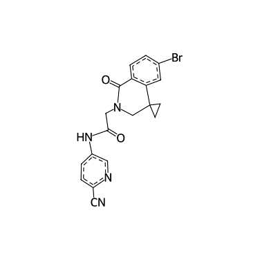 N#Cc1ccc(NC(=O)CN2CC3(CC3)c3cc(Br)ccc3C2=O)cn1